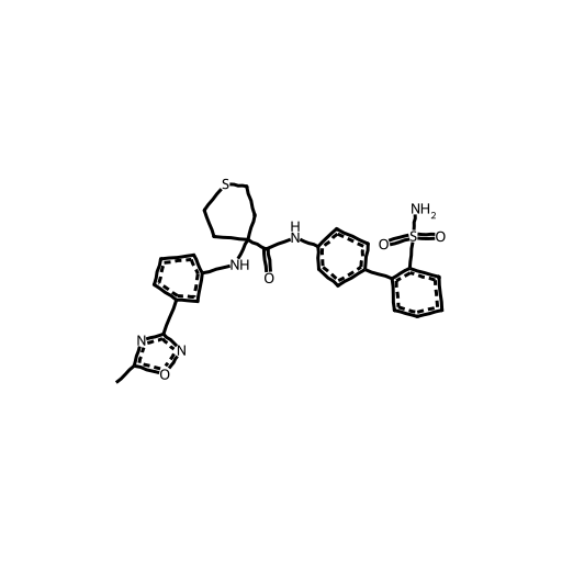 Cc1nc(-c2cccc(NC3(C(=O)Nc4ccc(-c5ccccc5S(N)(=O)=O)cc4)CCSCC3)c2)no1